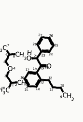 CC(C)COCC(C)C.CCCCc1ccccc1C(=O)C(O)c1ccccc1